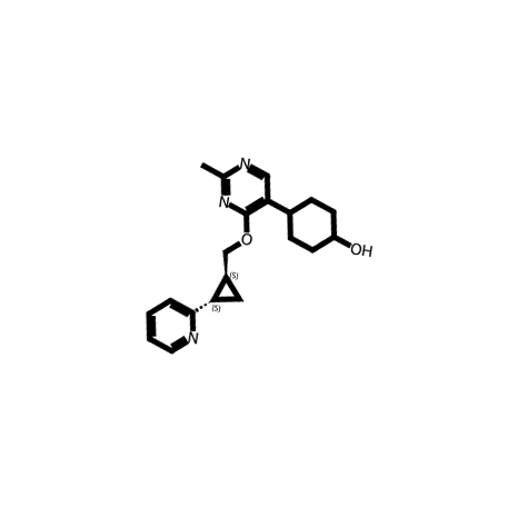 Cc1ncc(C2CCC(O)CC2)c(OC[C@H]2C[C@@H]2c2ccccn2)n1